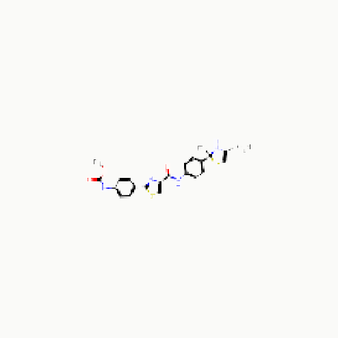 CCC1(c2ccc(NC(=O)c3csc(-c4ccc(NC(=O)OC(C)(C)C)cc4)n3)cc2)NC(C(=O)O)=CS1